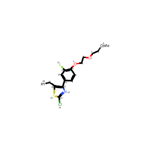 COCCOCCOc1ccc(-c2nc(Cl)sc2CC(C)C)cc1F